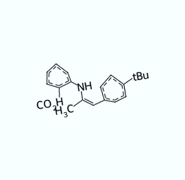 CC(=Cc1ccc(C(C)(C)C)cc1)Nc1ccccc1C(=O)O